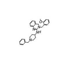 COc1ccccc1CN1Cc2ccccc2N=C1NC1CCN(Cc2ccccc2)CC1